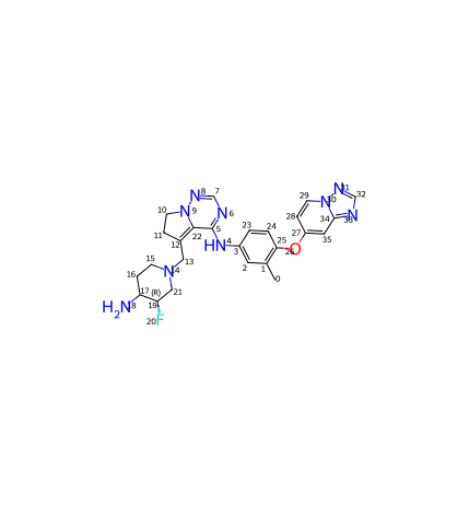 Cc1cc(NC2=NC=NN3CCC(CN4CCC(N)[C@H](F)C4)=C23)ccc1Oc1ccn2ncnc2c1